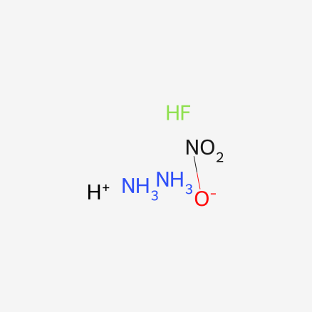 F.N.N.O=[N+]([O-])[O-].[H+]